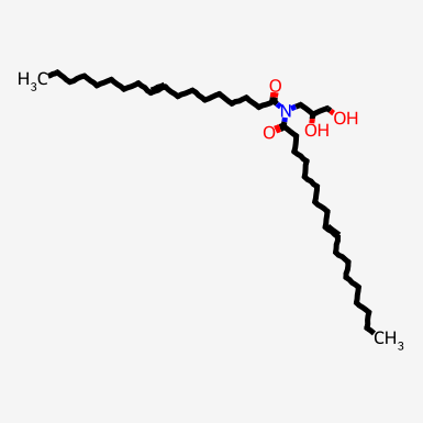 CCCCCCCCC=CCCCCCCCC(=O)N(CC(O)CO)C(=O)CCCCCCCC=CCCCCCCCC